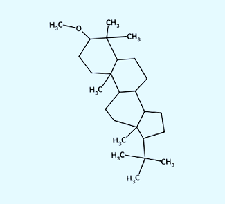 COC1CCC2(C)C3CCC4(C)C(CCC4C(C)(C)C)C3CCC2C1(C)C